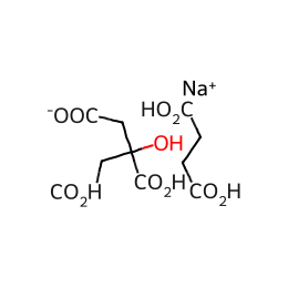 O=C(O)CCC(=O)O.O=C([O-])CC(O)(CC(=O)O)C(=O)O.[Na+]